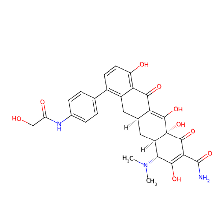 CN(C)[C@H]1C(O)=C(C(N)=O)C(=O)[C@]2(O)C(O)=C3C(=O)c4c(O)ccc(-c5ccc(NC(=O)CO)cc5)c4C[C@@H]3C[C@H]12